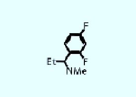 CCC(NC)c1ccc(F)cc1F